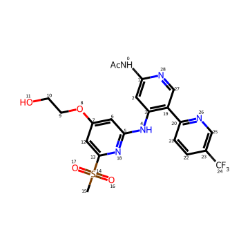 CC(=O)Nc1cc(Nc2cc(OCCO)cc(S(C)(=O)=O)n2)c(-c2ccc(C(F)(F)F)cn2)cn1